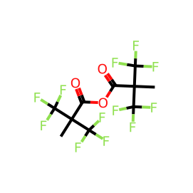 CC(C(=O)OC(=O)C(C)(C(F)(F)F)C(F)(F)F)(C(F)(F)F)C(F)(F)F